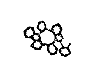 Cc1ccccc1-c1nc2cccc3c4ccccc4n4c5ccccc5c5cccc(c6ccccc6n1c23)c54